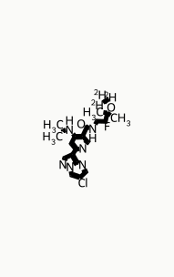 [2H]C([2H])([2H])OC(C)(C)[C@H](F)CNC(=O)c1cnc(-c2cnn3cc(Cl)cnc23)cc1NC(C)C